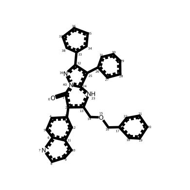 O=c1c(-c2ccc3ncccc3c2)c(COCc2ccccc2)[nH]c2c(-c3ccccc3)c(-c3ccccc3)nn12